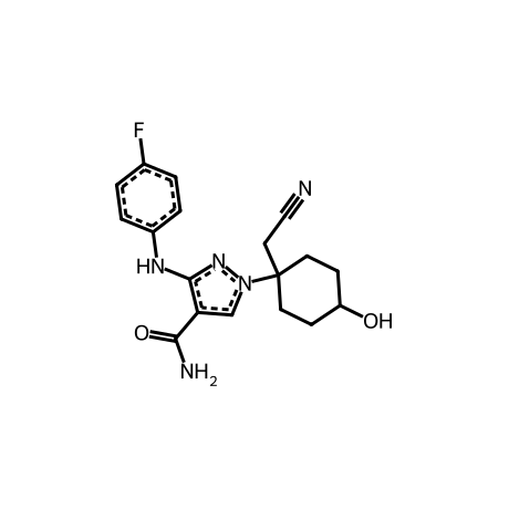 N#CCC1(n2cc(C(N)=O)c(Nc3ccc(F)cc3)n2)CCC(O)CC1